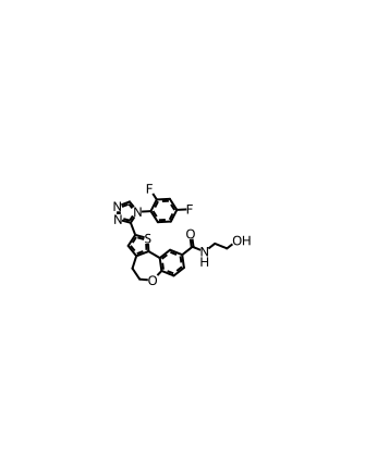 O=C(NCCO)c1ccc2c(c1)-c1sc(-c3nncn3-c3ccc(F)cc3F)cc1CCO2